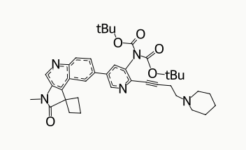 CN1C(=O)C2(CCC2)c2c1cnc1ccc(-c3cnc(C#CCCN4CCCCC4)c(N(C(=O)OC(C)(C)C)C(=O)OC(C)(C)C)c3)cc21